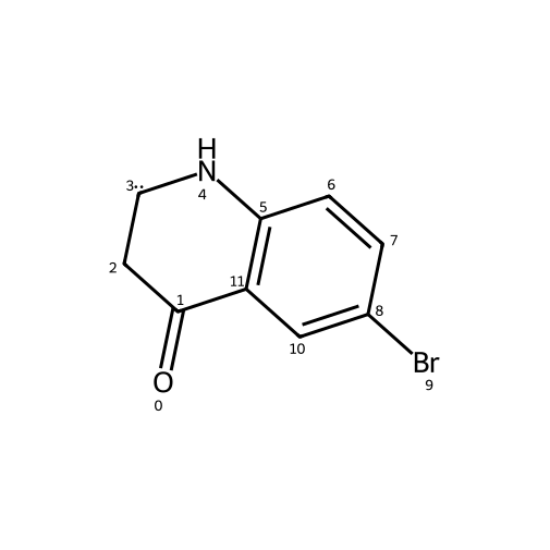 O=C1C[C]Nc2ccc(Br)cc21